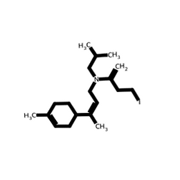 C=C(CCI)N(C/C=C(/C)C1CC=C(C)CC1)CC(C)C